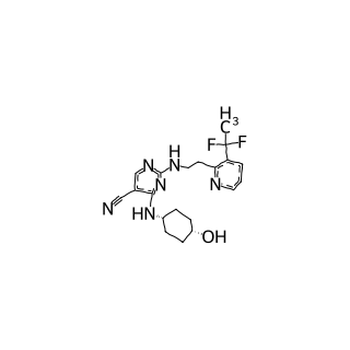 CC(F)(F)c1cccnc1CCNc1ncc(C#N)c(N[C@H]2CC[C@@H](O)CC2)n1